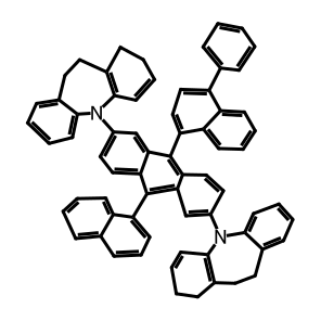 C1=CC2=C(CC1)CCc1ccccc1N2c1ccc2c(-c3ccc(-c4ccccc4)c4ccccc34)c3cc(N4C5=C(CCC=C5)CCc5ccccc54)ccc3c(-c3cccc4ccccc34)c2c1